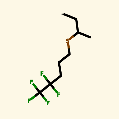 [CH2]CC(C)SCCCC(F)(F)C(F)(F)F